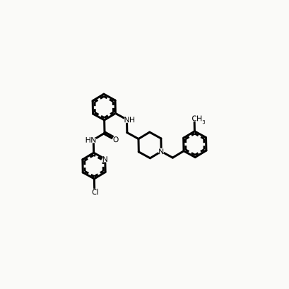 Cc1cccc(CN2CCC(CNc3ccccc3C(=O)Nc3ccc(Cl)cn3)CC2)c1